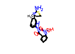 CC1(c2cccc(NC(=O)c3ccccc3[N+](=O)O)c2)CCSC(N)=N1